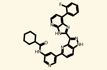 O=C(Nc1cncc(-c2ccc3[nH]nc(-c4nc5c(-c6ccccc6F)ccnc5[nH]4)c3n2)c1)C1CCCCC1